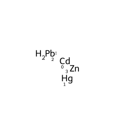 [Cd].[Hg].[PbH2].[Zn]